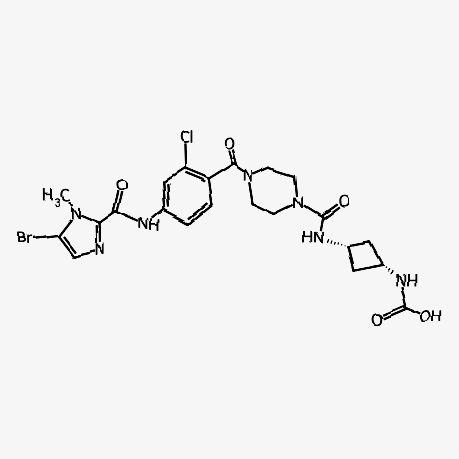 Cn1c(Br)cnc1C(=O)Nc1ccc(C(=O)N2CCN(C(=O)N[C@H]3C[C@@H](NC(=O)O)C3)CC2)c(Cl)c1